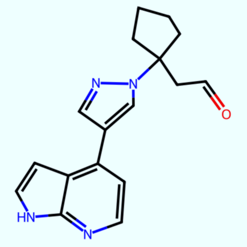 O=CCC1(n2cc(-c3ccnc4[nH]ccc34)cn2)CCCC1